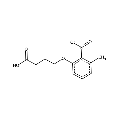 Cc1cccc(OCCCC(=O)O)c1[N+](=O)[O-]